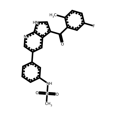 Cc1ccc(F)cc1C(=O)c1c[nH]c2ncc(-c3cccc(NS(C)(=O)=O)c3)cc12